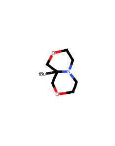 CC(C)(C)C12COCCN1CCOC2